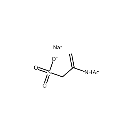 C=C(CS(=O)(=O)[O-])NC(C)=O.[Na+]